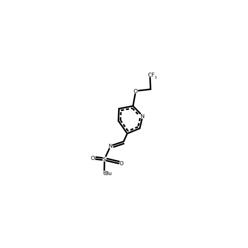 CC(C)(C)S(=O)(=O)/N=C/c1ccc(OCC(F)(F)F)nc1